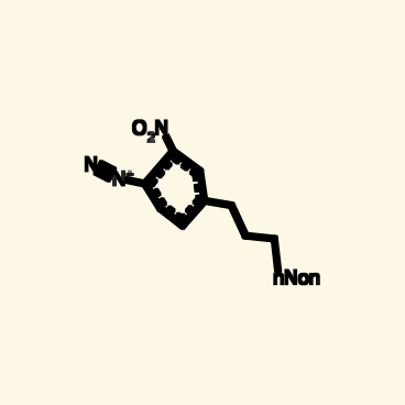 CCCCCCCCCCCCc1ccc([N+]#N)c([N+](=O)[O-])c1